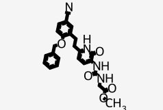 COC(=O)CNC(=O)Nc1ccc(CCc2cc(C#N)ccc2OCc2ccccc2)[nH]c1=O